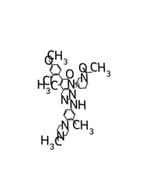 CCC(=O)N1CCC[C@H](n2c(=O)c(-c3ccc(OC)cc3Cl)c(C)c3cnc(Nc4ccc(N5CCN(C)CC5)c(C)c4)nc32)C1